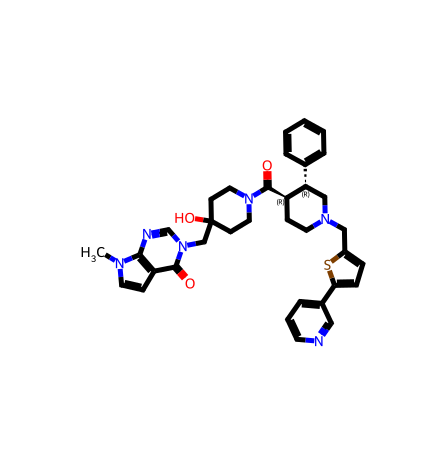 Cn1ccc2c(=O)n(CC3(O)CCN(C(=O)[C@@H]4CCN(Cc5ccc(-c6cccnc6)s5)C[C@H]4c4ccccc4)CC3)cnc21